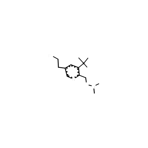 C[SiH](C)OCc1ncc(CCBr)cc1C(C)(C)C